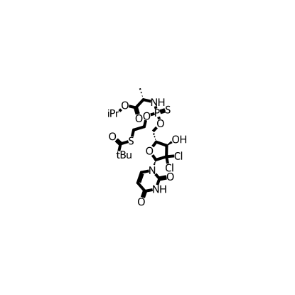 CC(C)OC(=O)[C@H](C)NP(=S)(OCCSC(=O)C(C)(C)C)OC[C@H]1O[C@@H](n2ccc(=O)[nH]c2=O)C(Cl)(Cl)[C@@H]1O